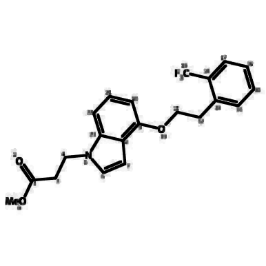 COC(=O)CCn1ccc2c(OCCc3ccccc3C(F)(F)F)cccc21